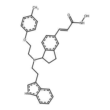 Cc1ccc(OCCN(CCc2c[nH]c3ccccc23)C2CCc3cc(C=CC(=O)NO)ccc32)cc1